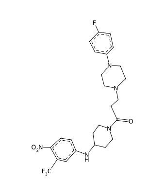 O=C(CCN1CCN(c2ccc(F)cc2)CC1)N1CCC(Nc2ccc([N+](=O)[O-])c(C(F)(F)F)c2)CC1